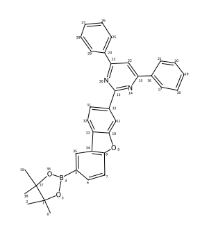 CC1(C)OB(c2ccc3oc4cc(-c5nc(-c6ccccc6)cc(-c6ccccc6)n5)ccc4c3c2)OC1(C)C